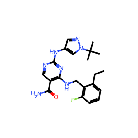 CCc1cccc(F)c1CNc1nc(Nc2cnn(C(C)(C)C)c2)ncc1C(N)=O